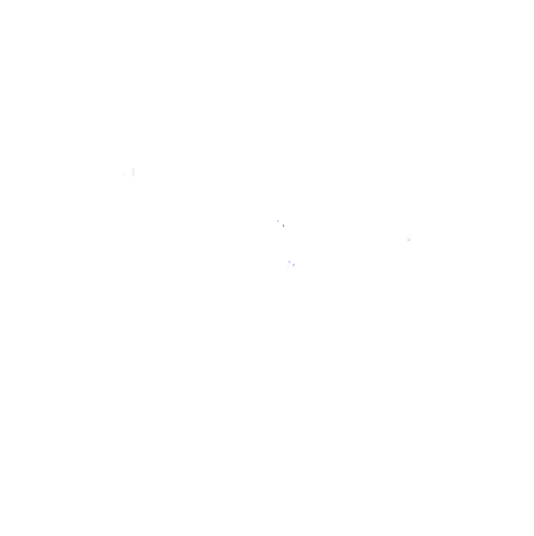 CN1c2cc(Br)ccc2N(Cc2ccc(OC(F)(F)F)cc2)S1(=O)=O